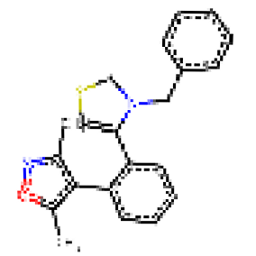 Cc1noc(C)c1-c1ccccc1C1=CS[CH]N1Cc1ccccc1